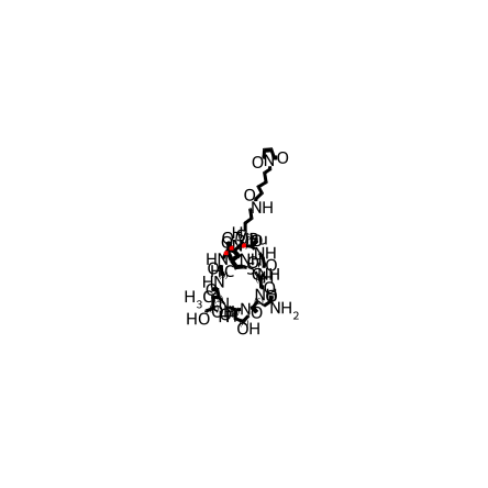 CC[C@H](C)[C@@H]1NC(=O)CNC(=O)[C@@H]2Cc3c([nH]c4c(CSCCCCNC(=O)CCCCCN5C(=O)C=CC5=O)c(OC)ccc34)[S+]([O-])C[C@H](NC(=O)CNC1=O)C(=O)N[C@@H](CC(N)=O)C(=O)N1C[C@H](O)C[C@H]1C(=O)N[C@@H]([C@@H](C)[C@@H](O)CO)C(=O)N2